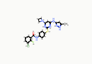 Cc1cc(Nc2cc(N3CCC3)nc(Sc3ccc(NC(=O)c4cccc(Cl)c4F)cc3)n2)n[nH]1